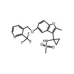 Cc1oc2ccc(OCc3cccnc3C(F)(F)F)cc2c1C1(NS(C)(=O)=O)CC1